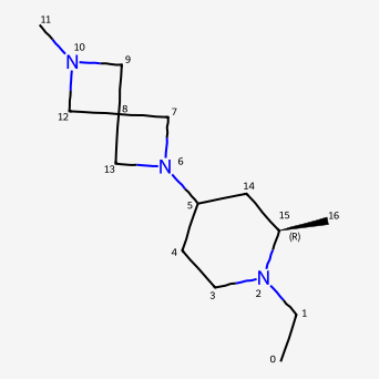 CCN1CCC(N2CC3(CN(C)C3)C2)C[C@H]1C